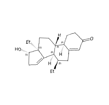 CC[C@@H]1CC2=CC(=O)CC[C@@H]2[C@H]2CC[C@@]3(CC)C(=CC[C@@H]3O)[C@H]12